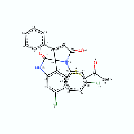 COC(=O)CSc1cc(Cl)cc2c1C1(C(=O)N2)C(c2ccccc2)=CC(=O)N1c1cccc(Cl)c1